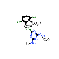 CCNc1nc(Cl)nc(NC(C)(C)C)n1.COc1c(Cl)ccc(Cl)c1C(=O)O